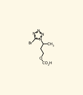 CC(CCOC(=O)O)n1nnnc1Br